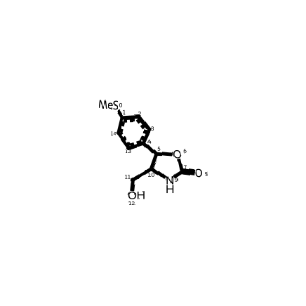 CSc1ccc(C2OC(=O)NC2CO)cc1